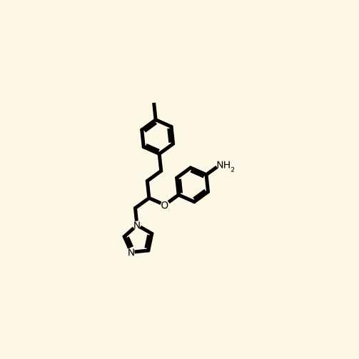 Cc1ccc(CCC(Cn2ccnc2)Oc2ccc(N)cc2)cc1